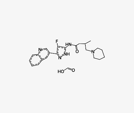 CC(CC(=O)Nc1[nH]nc(-c2cnc3ccccc3c2)c1F)CN1CCCCC1.O=CO